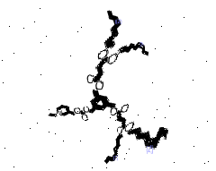 CC/C=C\CCCCOC(CCC(=O)OCc1cc(COC(=O)CCC(OCCCC/C=C\CC)OCCCC/C=C\CC)cc(COC(=O)OCC2CCCN(CC)C2)c1)OCCCC/C=C\CC